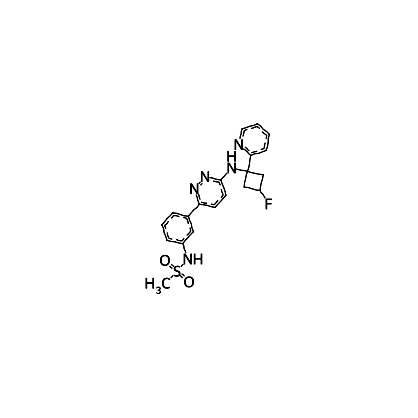 CS(=O)(=O)Nc1cccc(-c2ccc(NC3(c4ccccn4)CC(F)C3)nn2)c1